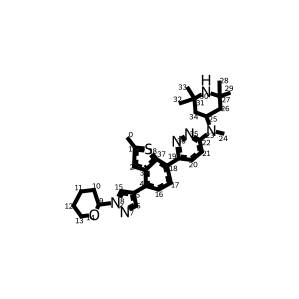 Cc1cc2c(-c3cnn(C4CCCCO4)c3)ccc(-c3ccc(N(C)C4CC(C)(C)NC(C)(C)C4)nn3)c2s1